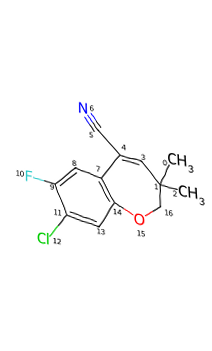 CC1(C)C=C(C#N)c2cc(F)c(Cl)cc2OC1